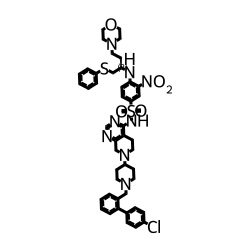 O=[N+]([O-])c1cc(S(=O)(=O)Nc2ncnc3c2CCN(C2CCN(Cc4ccccc4-c4ccc(Cl)cc4)CC2)C3)ccc1N[C@H](CCN1CCOCC1)CSc1ccccc1